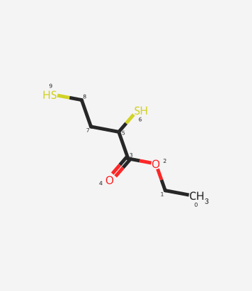 CCOC(=O)C(S)CCS